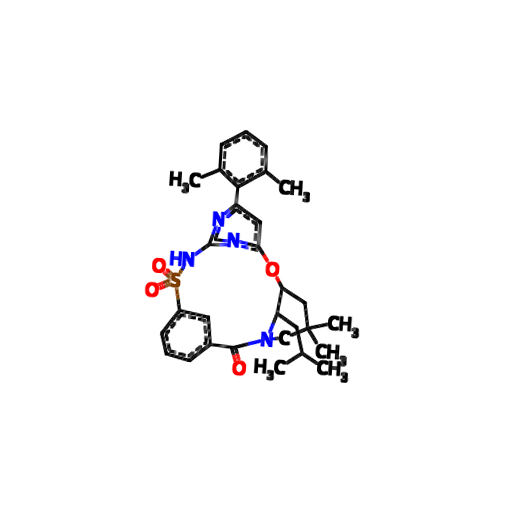 Cc1cccc(C)c1-c1cc2nc(n1)NS(=O)(=O)c1cccc(c1)C(=O)N1CC(C)(C)CC(O2)C1CC(C)C